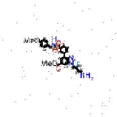 COC(=O)c1cc(-c2cccc(S(=O)(=O)NCc3ccc(OC)cc3)c2)c2ncn(CC(F)=CCN)c2c1